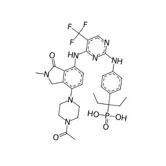 CCC(CC)(c1ccc(Nc2ncc(C(F)(F)F)c(Nc3ccc(N4CCN(C(C)=O)CC4)c4c3C(=O)N(C)C4)n2)cc1)P(=O)(O)O